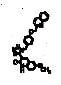 COc1ccc2[nH]c(=O)c(-c3nnnn3Cc3ccc(OCc4ccc5ccccc5n4)cc3)cc2c1